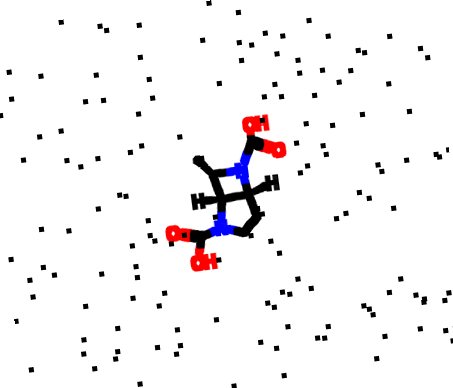 C[C@@H]1[C@@H]2[C@@H](CCN2C(=O)O)N1C(=O)O